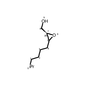 CC(C)CCCCC1O[C@@H]1CO